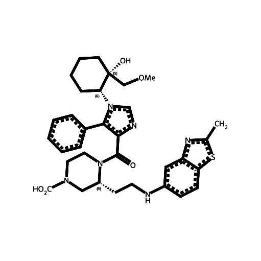 COC[C@]1(O)CCCC[C@H]1n1cnc(C(=O)N2CCN(C(=O)O)C[C@H]2CCNc2ccc3sc(C)nc3c2)c1-c1ccccc1